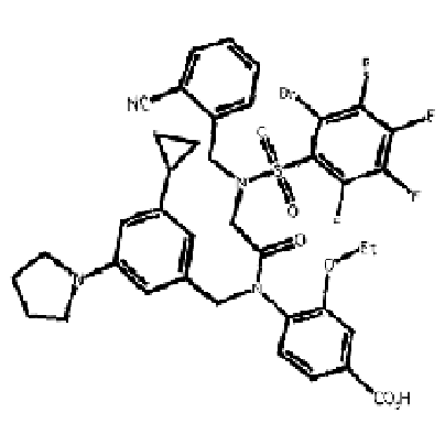 CCOc1cc(C(=O)O)ccc1N(Cc1cc(C2CC2)cc(N2CCCC2)c1)C(=O)CN(Cc1ccccc1C#N)S(=O)(=O)c1c(F)c(F)c(F)c(F)c1Br